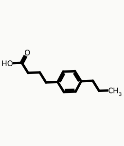 CCCc1ccc(CCCC(=O)O)cc1